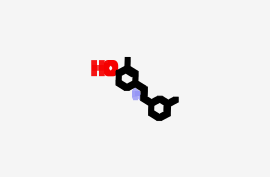 CC1=CCCC(/C=C/C2C=C(C)C(O)CC2)C1